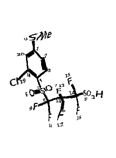 CSc1ccc(S(=O)(=O)C(F)(F)C(F)(F)C(F)(F)S(=O)(=O)O)c(Cl)c1